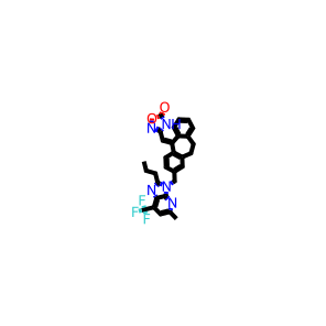 CCCc1nc2c(C(F)(F)F)cc(C)nc2n1Cc1ccc2c(c1)CCc1ccccc1C2=Cc1noc(=O)[nH]1